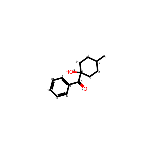 CC1CCC(O)(C(=O)c2ccccc2)CC1